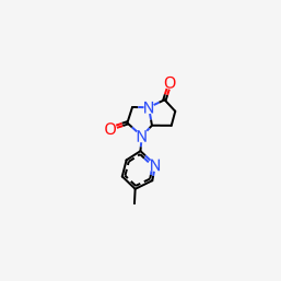 Cc1ccc(N2C(=O)CN3C(=O)CCC32)nc1